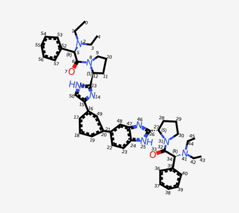 CCN(CC)[C@@H](C(=O)N1CCC[C@H]1c1nc(-c2cccc(-c3ccc4[nH]c([C@@H]5CCCN5C(=O)[C@@H](c5ccccc5)N(CC)CC)nc4c3)c2)c[nH]1)c1ccccc1